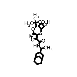 CC(NC(=O)c1onc(OCC(C)(C)C(=O)O)c1SC1CCC1)C1CC2CCCC(C2)C1